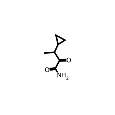 CC(C(=O)C(N)=O)C1CC1